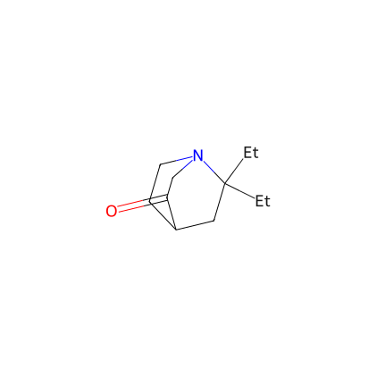 CCC1(CC)CC2CCN1CC2=O